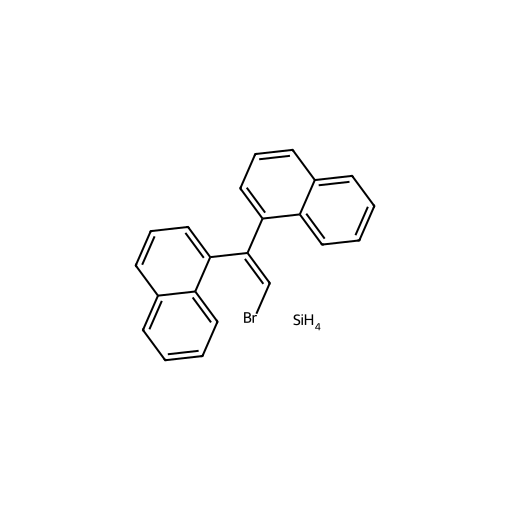 BrC=C(c1cccc2ccccc12)c1cccc2ccccc12.[SiH4]